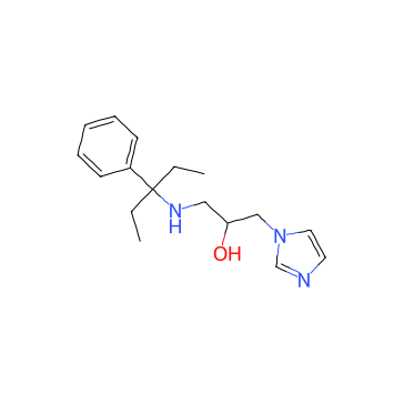 CCC(CC)(NCC(O)Cn1ccnc1)c1ccccc1